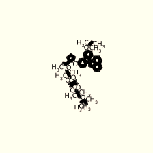 CCC(OCC(C)(C)C1OCC2(CO1)COC(C(C)(C)COC(C)(CC)CC)OC2)C1CCC=C1Oc1ccc(C2(c3ccc(OC(C)(C)CC)cc3)Cc3cccc4cccc2c34)cc1